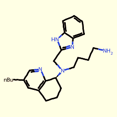 CCCCc1cnc2c(c1)CCC[C@@H]2N(CCCCN)Cc1nc2ccccc2[nH]1